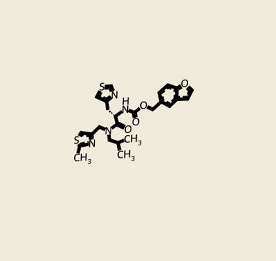 Cc1nc(CN(CC(C)C)C(=O)[C@H](Cc2cscn2)NC(=O)OCc2ccc3occc3c2)cs1